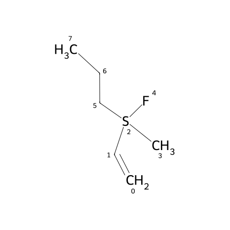 C=CS(C)(F)CCC